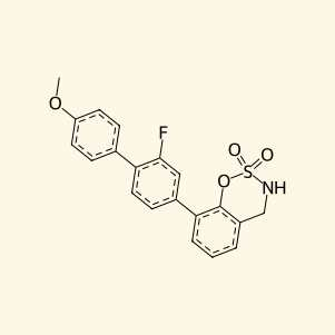 COc1ccc(-c2ccc(-c3cccc4c3OS(=O)(=O)NC4)cc2F)cc1